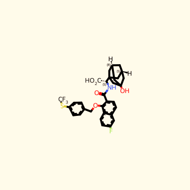 O=C(N[C@H](C(=O)O)C12C[C@@H]3C[C@@H](CC(O)(C3)C1)C2)c1ccc2cc(F)ccc2c1OCc1ccc(SC(F)(F)F)cc1